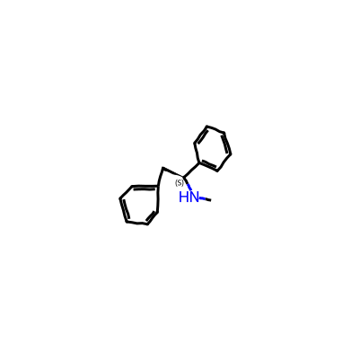 CN[C@@H](Cc1ccccc1)c1ccccc1